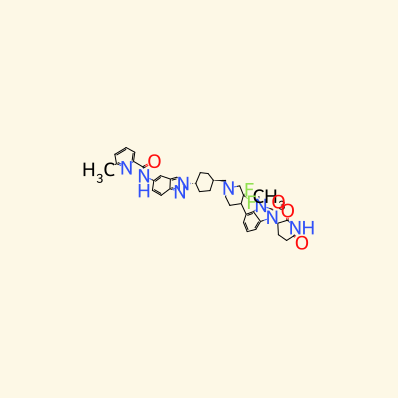 Cc1cccc(C(=O)Nc2ccc3nn([C@H]4CC[C@H](CN5CCC(c6cccc7c6n(C)c(=O)n7C6CCC(=O)NC6=O)C(F)(F)C5)CC4)cc3c2)n1